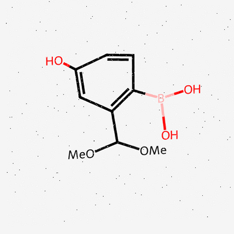 COC(OC)c1cc(O)ccc1B(O)O